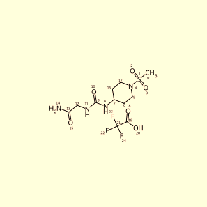 CS(=O)(=O)N1CCC(NC(=O)NCC(N)=O)CC1.O=C(O)C(F)(F)F